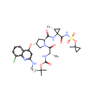 CCNc1cc(O[C@@H]2C[C@@H](C(=O)N[C@]3(C(=O)NS(=O)(=O)OC4(C)CC4)C[C@H]3CC)N(C(=O)[C@@H](NC(=O)OC(C)(C)C(F)(F)F)C(C)(C)C)C2)c2cccc(Cl)c2n1